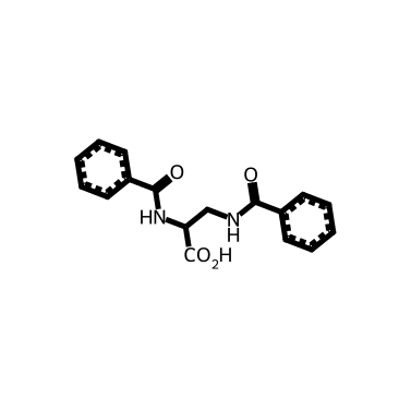 O=C(NCC(NC(=O)c1ccccc1)C(=O)O)c1ccccc1